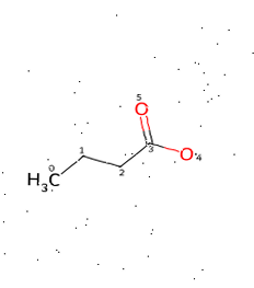 CCCC([O])=O